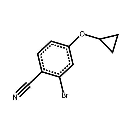 N#Cc1ccc(OC2CC2)cc1Br